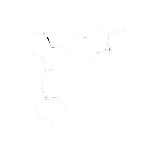 CC(=O)N[C@@H](CSC1=CC(=O)NC1=O)C(=O)NCc1ccccc1